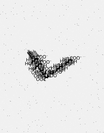 N[C@@H](CC(=O)[O-])C(=O)[O-].N[C@@H](CC(=O)[O-])C(=O)[O-].N[C@@H](CC(=O)[O-])C(=O)[O-].N[C@@H](CC(=O)[O-])C(=O)[O-].O=C([O-])[C@H](O)[C@@H](O)[C@H](O)[C@H](O)CO.O=C([O-])[C@H](O)[C@@H](O)[C@H](O)[C@H](O)CO.O=C([O-])[C@H](O)[C@@H](O)[C@H](O)[C@H](O)CO.O=C([O-])[C@H](O)[C@@H](O)[C@H](O)[C@H](O)CO.[Cu+2].[Cu+2].[Mg+2].[Zn+2].[Zn+2].[Zn+2]